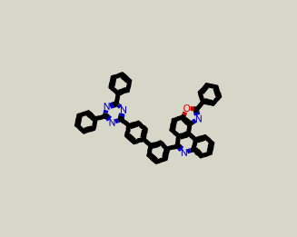 c1ccc(-c2nc(-c3ccccc3)nc(-c3ccc(-c4cccc(-c5nc6ccccc6c6c5ccc5oc(-c7ccccc7)nc56)c4)cc3)n2)cc1